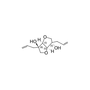 C=CC[C@@]1(O)CO[C@H]2[C@@H]1OC[C@@]2(O)CC=C